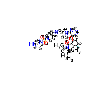 CC(C)N(C(=O)c1cc(F)ccc1Oc1cncnc1N1CC[C@@H](CN2CC3(CCN(S(=O)(=O)N4CCCNCC4)CC3)C2)C1)C(C)C